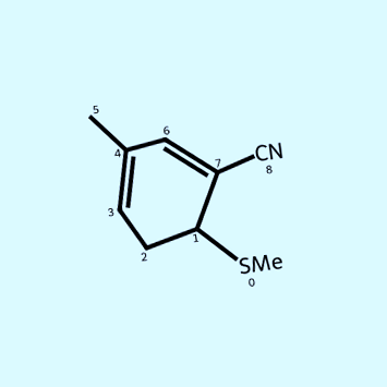 CSC1CC=C(C)C=C1C#N